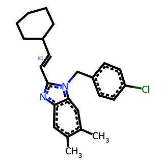 Cc1cc2nc(/C=C/C3CCCCC3)n(Cc3ccc(Cl)cc3)c2cc1C